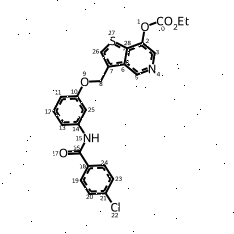 CCOC(=O)Oc1cncc2c(COc3cccc(NC(=O)c4ccc(Cl)cc4)c3)csc12